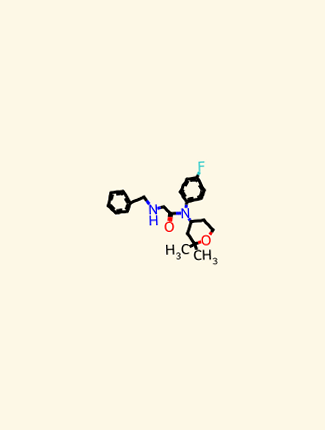 CC1(C)CC(N(C(=O)CNCc2ccccc2)c2ccc(F)cc2)CCO1